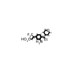 CCN(c1ccc([C@@H](CC(=O)O)C(F)(F)F)cc1N)C1CCOCC1